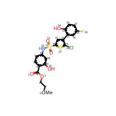 COCCOC(=O)c1ccc(NS(=O)(=O)c2cc(-c3cc(F)ccc3O)c(Cl)s2)cc1O